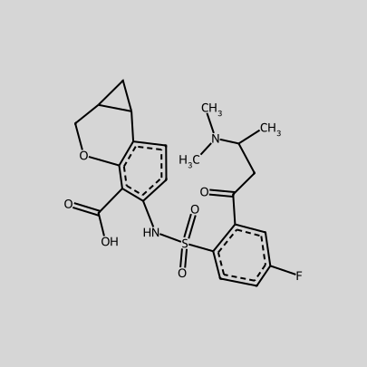 CC(CC(=O)c1cc(F)ccc1S(=O)(=O)Nc1ccc2c(c1C(=O)O)OCC1CC21)N(C)C